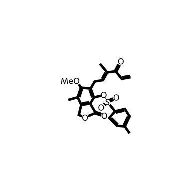 C=CC(=O)/C(C)=C/Cc1c(OC)c(C)c2c(c1OS(=O)(=O)c1ccc(C)cc1)C(=O)OC2